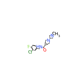 CN1CC(N2CC3C(C2)C3C(=O)NCc2ccc(F)c(Cl)c2)C1